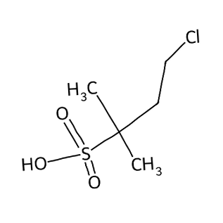 CC(C)(CCCl)S(=O)(=O)O